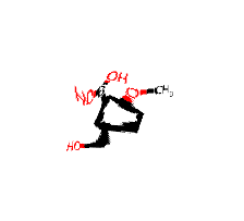 COc1ccc(CO)cc1B(O)O